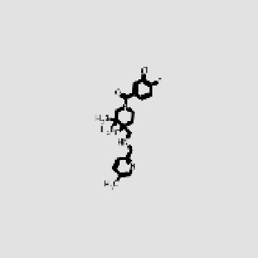 BC1(B)CN(C(=O)c2ccc(F)c(Cl)c2)CCC1(F)CNCc1ccc(C)cn1